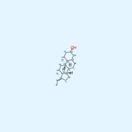 C/C=C1\CC[C@H]2[C@@H]3CCC4CC(O)CC[C@]4(C)[C@H]3CC[C@]12C